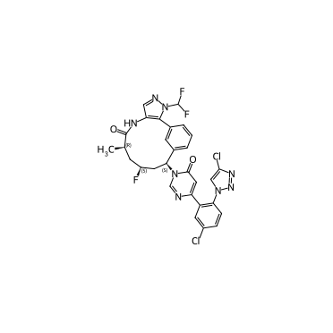 C[C@@H]1C[C@H](F)C[C@H](n2cnc(-c3cc(Cl)ccc3-n3cc(Cl)nn3)cc2=O)c2cccc(c2)-c2c(cnn2C(F)F)NC1=O